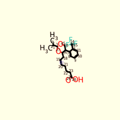 CC(C)C1OCC(c2ccccc2C(F)(F)F)C(C/C=C\CCCC(=O)O)O1